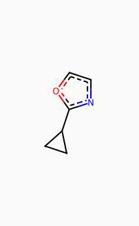 c1coc(C2CC2)n1